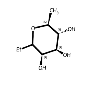 CCC1O[C@@H](C)[C@H](O)[C@@H](O)[C@H]1O